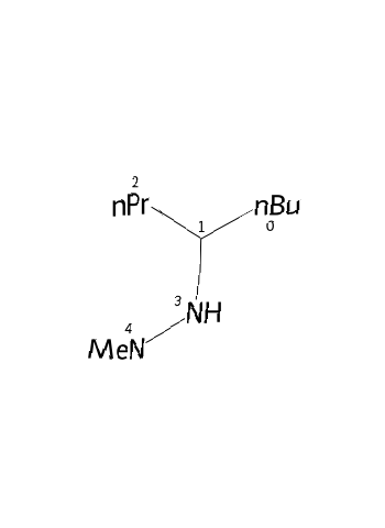 CCCCC(CCC)NNC